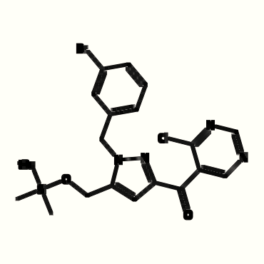 CC(C)(C)[Si](C)(C)OCc1cc(C(=O)c2cncnc2Cl)nn1Cc1cccc(Br)c1